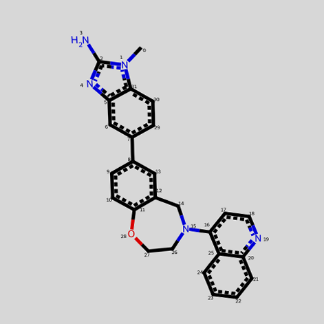 Cn1c(N)nc2cc(-c3ccc4c(c3)CN(c3ccnc5ccccc35)CCO4)ccc21